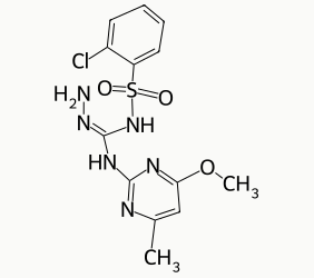 COc1cc(C)nc(NC(=NN)NS(=O)(=O)c2ccccc2Cl)n1